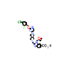 O=C(O)c1ccc2nc(CN3CC4=C(C3)CN(c3ccnc(OCc5ccc(Cl)cc5F)n3)C4)n(C[C@@H]3CCO3)c2c1